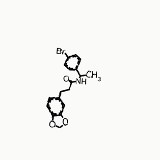 CC(NC(=O)CCc1ccc2c(c1)OCO2)c1ccc(Br)cc1